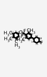 Cc1cc(OC(F)(F)c2c(C)cc(C3CCC(F)CC3)cc2C)cc(C)c1C